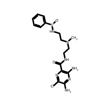 CN(CCNC(=O)c1nc(Cl)c(N)nc1N)CCN[S+]([O-])c1ccccc1